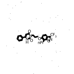 CCCc1c(OCCCn2c(=O)cc(-c3ccccc3)[nH]c2=O)ccc2c(C(F)(F)F)noc12